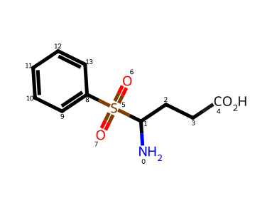 NC(CCC(=O)O)S(=O)(=O)c1ccccc1